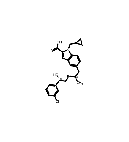 C[C@H](Cc1ccc2c(c1)cc(C(=O)O)n2CC1CC1)NC[C@@H](O)c1cccc(Cl)c1